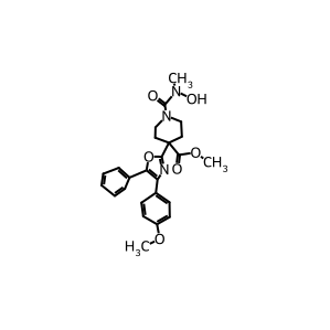 COC(=O)C1(c2nc(-c3ccc(OC)cc3)c(-c3ccccc3)o2)CCN(C(=O)N(C)O)CC1